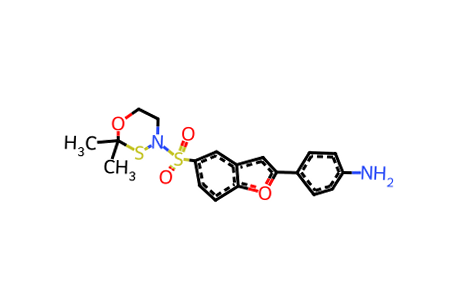 CC1(C)OCCN(S(=O)(=O)c2ccc3oc(-c4ccc(N)cc4)cc3c2)S1